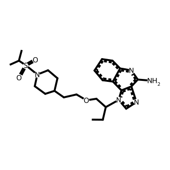 CCC(COCCC1CCN(S(=O)(=O)C(C)C)CC1)n1cnc2c(N)nc3ccccc3c21